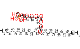 C1CO1.C1CO1.C1CO1.C1CO1.C1CO1.C1CO1.CCCCCCCCCCCCOCCCCCCCCCCCC.O=P(O)(O)O